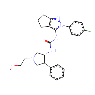 COCCN1CC(c2ccccc2)[C@H](NC(=O)Nc2c3c(nn2-c2ccc(F)cc2)CCC3)C1